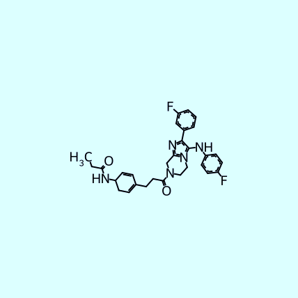 CCC(=O)NC1C=CC(CCC(=O)N2CCn3c(nc(-c4cccc(F)c4)c3Nc3ccc(F)cc3)C2)=CC1